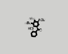 CCCCc1cc(C(=O)c2ccccc2)c(O)c(CCCC)c1CCCC